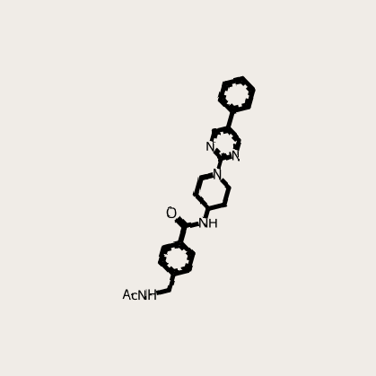 CC(=O)NCc1ccc(C(=O)NC2CCN(c3ncc(-c4ccccc4)cn3)CC2)cc1